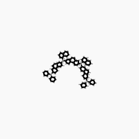 c1ccc(N(c2ccccc2)c2ccc3c(ccc4cc(N(c5ccc6c(ccc7cc(N(c8ccc9c(ccc%10cc(N(c%11ccccc%11)c%11ccccc%11)ccc%109)c8)c8cccc9ccccc89)ccc76)c5)c5cccc6ccccc56)ccc43)c2)cc1